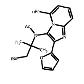 CCCc1cccc2nc(-c3ccco3)c(N(C(C)=O)C(C)(C)CC(C)(C)C)n12